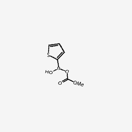 COC(=O)OB(O)c1cccs1